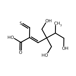 CC(CO)C(C=C(C=S)C(=O)O)(CO)CO